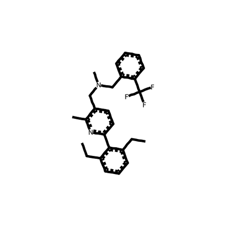 CCc1cccc(CC)c1-c1ccc(CN(C)Cc2ccccc2C(F)(F)F)c(C)n1